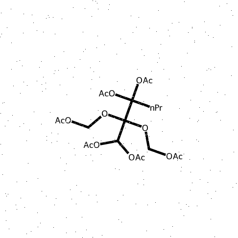 CCCC(OC(C)=O)(OC(C)=O)C(OCOC(C)=O)(OCOC(C)=O)C(OC(C)=O)OC(C)=O